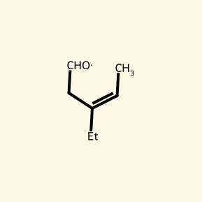 CC=C(CC)C[C]=O